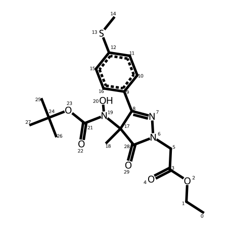 CCOC(=O)CN1N=C(c2ccc(SC)cc2)C(C)(N(O)C(=O)OC(C)(C)C)C1=O